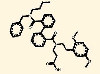 CCCCN(Cc1ccccc1)C(=O)c1ccccc1-c1ccccc1C(=O)N(CCC(=O)O)CCc1cc(OC)ccc1OC